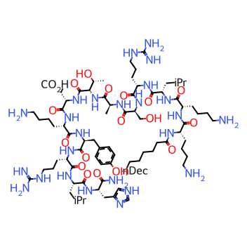 CCCCCCCCCCCCCCCC(=O)N[C@@H](CCCCN)C(=O)N[C@@H](CCCCN)C(=O)N[C@@H](CC(C)C)C(=O)N[C@@H](CCCNC(=N)N)C(=O)N[C@@H](CO)C(=O)N[C@@H](C)C(=O)N[C@H](C(=O)N[C@@H](CC(=O)O)C(=O)N[C@@H](CCCCN)C(=O)N[C@@H](Cc1ccc(O)cc1)C(=O)N[C@@H](CCCNC(=N)N)C(=O)N[C@@H](CC(C)C)C(=O)N[C@@H](Cc1c[nH]cn1)C(N)=O)[C@@H](C)O